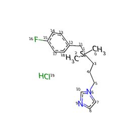 C[Si](C)(CCCn1ccnc1)Cc1ccc(F)cc1.Cl